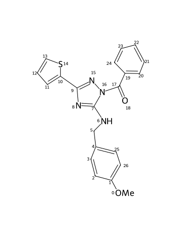 COc1ccc(CNc2nc(-c3cccs3)nn2C(=O)c2ccccc2)cc1